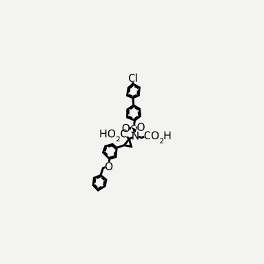 O=C(O)CN(C1(C(=O)O)CC1c1cccc(OCc2ccccc2)c1)S(=O)(=O)c1ccc(-c2ccc(Cl)cc2)cc1